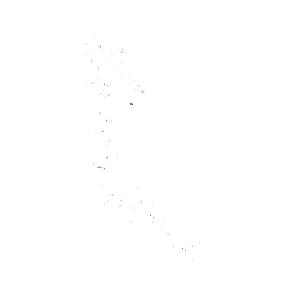 CN(C)CC=CC(=O)N1CCN(c2ccc(CCC(=O)N/C=C/C(=O)NCCn3ccc(-c4cc(Cl)c(Cl)c5[nH]c6c(c45)CN(C(=O)CO)CC6)n3)s2)C(=O)C1